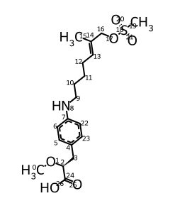 CO[C@@H](Cc1ccc(NCCCC/C=C(\C)COS(C)(=O)=O)cc1)C(=O)O